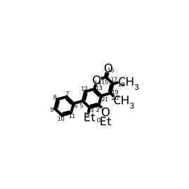 CCOc1c(CC)c(-c2ccccc2)cc2oc(=O)c(C)c(C)c12